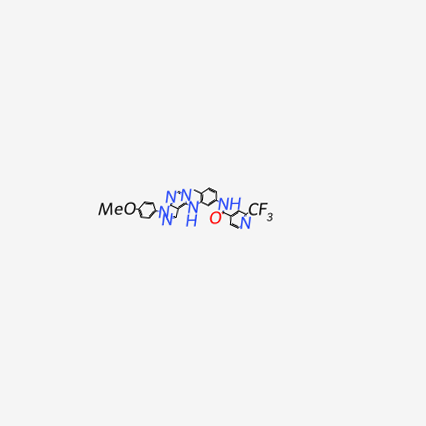 COc1ccc(-n2ncc3c(Nc4cc(NC(=O)c5ccnc(C(F)(F)F)c5)ccc4C)ncnc32)cc1